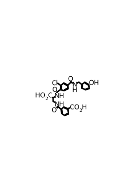 O=C(O)c1cccc(C(=O)NCC(NC(=O)c2ccc(C(=O)NCc3cccc(O)c3)cc2Cl)C(=O)O)c1